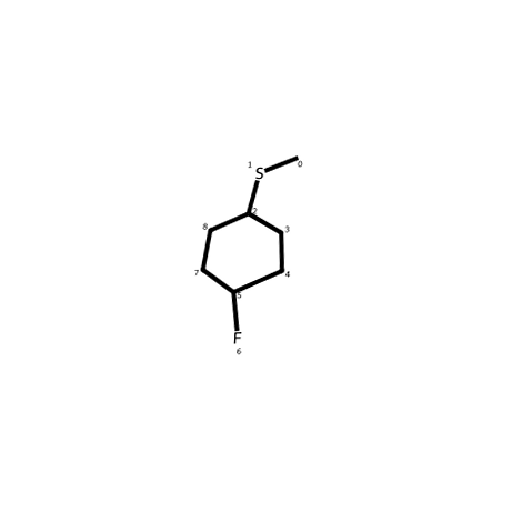 CSC1CCC(F)CC1